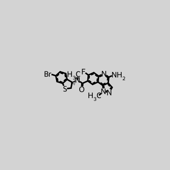 CN(C(=O)c1cc2c(cc1F)nc(N)c1cnn(C)c12)[C@H]1CSc2cc(Br)ccc21